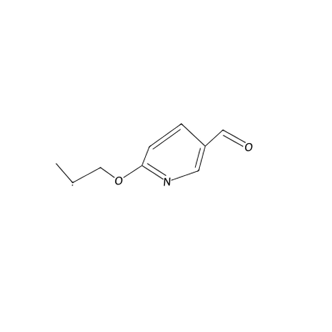 C[CH]COc1ccc(C=O)cn1